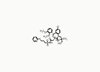 COc1cccc([C@H]2O[C@H](CC(=O)NS(=O)(=O)CCCSc3ccccn3)C(=O)N(CC(C)(C)CO)c3ccc(Cl)cc32)c1OC